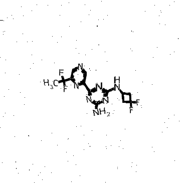 CC(F)(F)c1cncc(-c2nc(N)nc(NC3CC(F)(F)C3)n2)n1